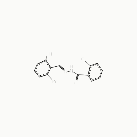 O=C(NN=Cc1c(O)cccc1Br)c1ccccc1O